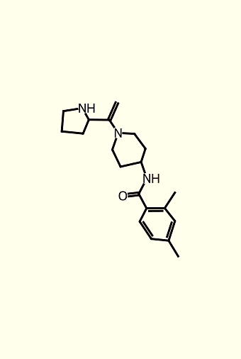 C=C(C1CCCN1)N1CCC(NC(=O)c2ccc(C)cc2C)CC1